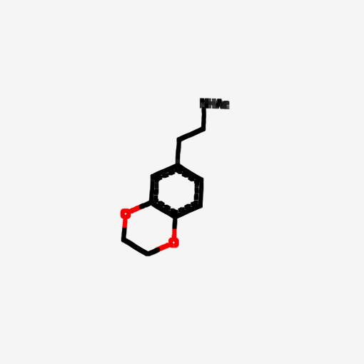 CC(=O)NCCc1ccc2c(c1)OCCO2